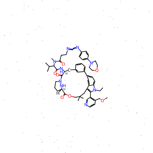 CCn1c(-c2cnccc2COC)c2c3cc(ccc31)-c1cccc(c1)C[C@H](NC(=O)C(C(C)C)N(C)C(=O)CCN=C=Nc1ccc(N3CCOCC3)cc1)C(=O)N1CCC[C@H](N1)C(=O)OCC(C)(C)C2